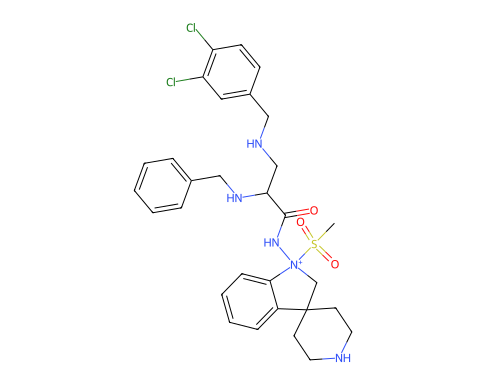 CS(=O)(=O)[N+]1(NC(=O)C(CNCc2ccc(Cl)c(Cl)c2)NCc2ccccc2)CC2(CCNCC2)c2ccccc21